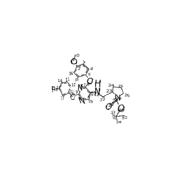 COc1ccc(Oc2nc(Oc3cccc(F)c3)ncc2NCC2CCCN2C(=O)OC(C)(C)C)cc1